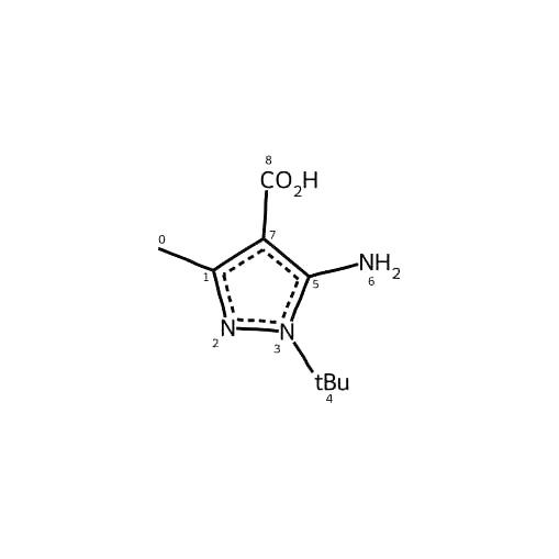 Cc1nn(C(C)(C)C)c(N)c1C(=O)O